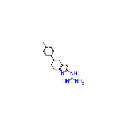 Cc1ccc(C2CCc3nc(NC(=N)N)sc3C2)cc1